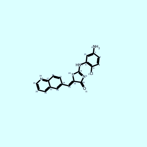 Nc1ccc(Cl)c(NC2=NC(=O)/C(=C/c3ccc4ncccc4c3)S2)c1